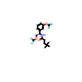 CC(C)(C)CCC(=O)N[C@@H](COC(F)F)c1cccc(OC(F)F)c1